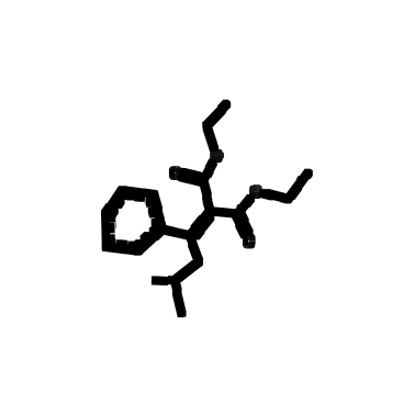 CCOC(=O)C(C(=O)OCC)=C(CC(C)C)c1ccccc1